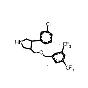 FC(F)(F)c1cc(COCC2CNCC2c2cccc(Cl)c2)cc(C(F)(F)F)c1